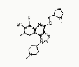 Cc1cc2c(nc(OCC3CCCN3C)c3cnn(C4CCN(C)CC4)c32)c(F)c1Br